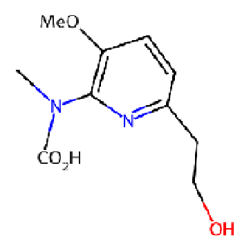 COc1ccc(CCO)nc1N(C)C(=O)O